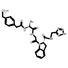 CC[C@H](C)[C@H](NC(=O)Cc1ccc(CC(=O)O)cc1)C(=O)NCC(=O)N1c2ccccc2C[C@H]1C(=O)NCc1nn[nH]n1